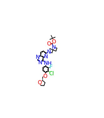 CC(C)(C)OC(=O)N1CCC12CN(c1ccc3ncnc(Nc4ccc(OC[C@H]5CCCO5)c(Cl)c4F)c3n1)C2